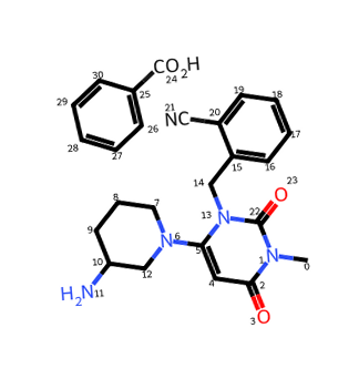 Cn1c(=O)cc(N2CCCC(N)C2)n(Cc2ccccc2C#N)c1=O.O=C(O)c1ccccc1